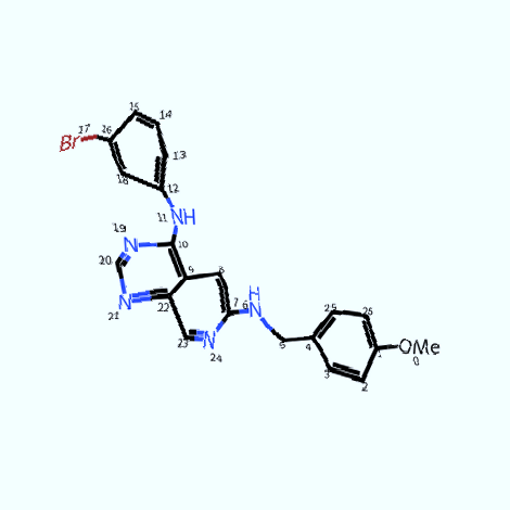 COc1ccc(CNc2cc3c(Nc4cccc(Br)c4)ncnc3cn2)cc1